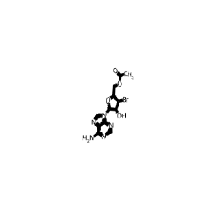 CC(=O)OCC1OC(n2cnc3c(N)ncnc32)C(O)C1Br